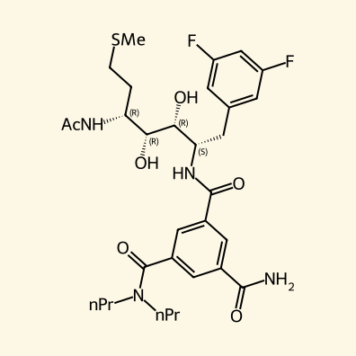 CCCN(CCC)C(=O)c1cc(C(N)=O)cc(C(=O)N[C@@H](Cc2cc(F)cc(F)c2)[C@@H](O)[C@H](O)[C@@H](CCSC)NC(C)=O)c1